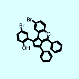 Oc1ccc(Br)cc1-c1cc(-c2ccccc2)c2c(-c3ccccc3)oc3ccc(Br)cc3c1-2